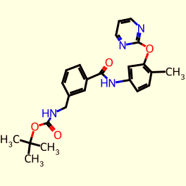 Cc1ccc(NC(=O)c2cccc(CNC(=O)OC(C)(C)C)c2)cc1Oc1ncccn1